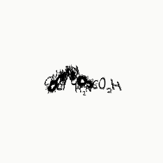 N=C(NC(=O)Cc1c(Cl)cccc1Cl)NC(=O)Oc1ccc(C[C@H](N)C(=O)O)cc1